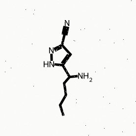 CCCCC(N)c1cc(C#N)n[nH]1